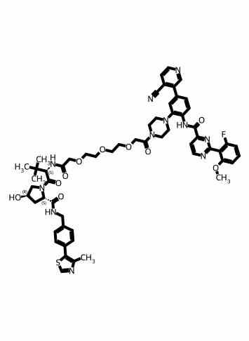 COc1cccc(F)c1-c1nccc(C(=O)Nc2ccc(-c3cnccc3C#N)cc2N2CCN(C(=O)COCCOCCOCC(=O)N[C@H](C(=O)N3C[C@H](O)C[C@H]3C(=O)NCc3ccc(-c4scnc4C)cc3)C(C)(C)C)CC2)n1